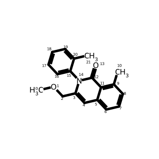 COCc1cc2cccc(C)c2c(=O)n1-c1ccccc1C